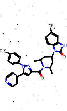 CC1CC(n2c(=O)[nH]c3cc(C(F)(F)F)ccc32)CC(C)N1C(=O)c1cc(-c2ccncc2)n(-c2ccc(C(F)(F)F)cc2)n1